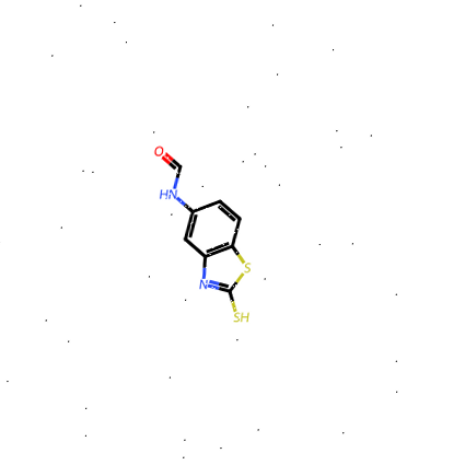 O=CNc1ccc2sc(S)nc2c1